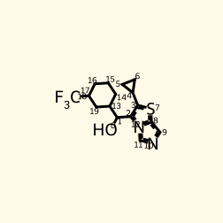 OC(c1c(C2CC2)sc2cncn12)C1CCCC(C(F)(F)F)C1